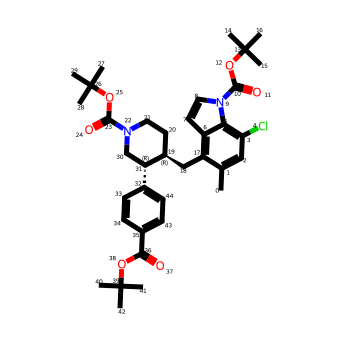 Cc1cc(Cl)c2c(ccn2C(=O)OC(C)(C)C)c1C[C@@H]1CCN(C(=O)OC(C)(C)C)C[C@H]1c1ccc(C(=O)OC(C)(C)C)cc1